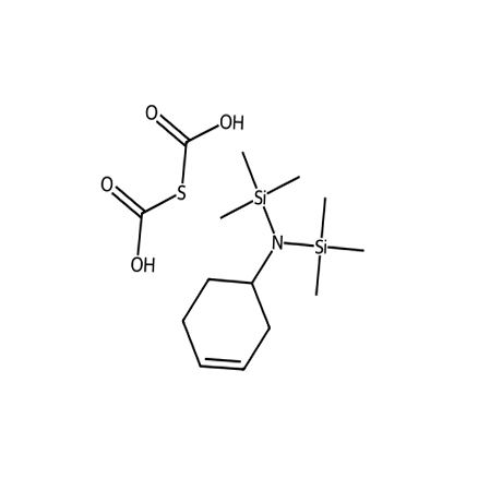 C[Si](C)(C)N(C1CC=CCC1)[Si](C)(C)C.O=C(O)SC(=O)O